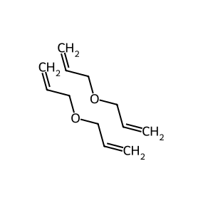 C=CCOCC=C.C=CCOCC=C